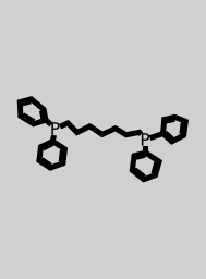 c1ccc(P(CCCCCCCP(c2ccccc2)c2ccccc2)c2ccccc2)cc1